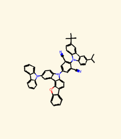 CC(C)c1ccc2c(c1)c1cc(C(C)(C)C)ccc1n2-c1c(C#N)cc(-n2c3ccc(-n4c5ccccc5c5ccccc54)cc3c3c4oc5ccccc5c4ccc32)cc1C#N